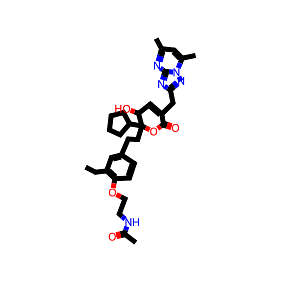 CCc1cc(CCC2(C3CCCC3)OC(=O)C(Cc3nc4nc(C)cc(C)n4n3)=CC2O)ccc1OCCNC(C)=O